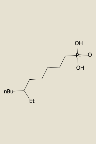 CCCCC(CC)CCCCCP(=O)(O)O